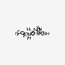 Nc1ncnc2c1c(-c1ccc(NCc3ccc(C(F)(F)F)cc3F)cc1)nn2C1CCNCC1